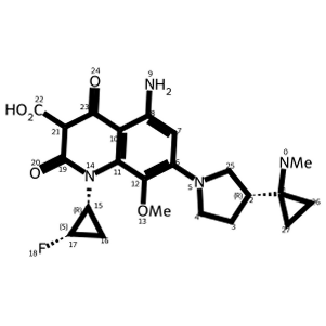 CNC1([C@@H]2CCN(c3cc(N)c4c(c3OC)N([C@@H]3C[C@@H]3F)C(=O)C(C(=O)O)C4=O)C2)CC1